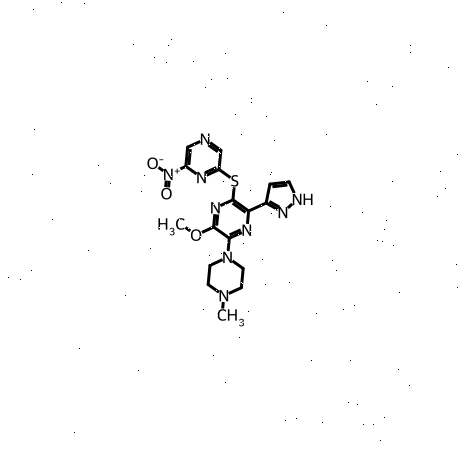 COc1nc(Sc2cncc([N+](=O)[O-])n2)c(-c2cc[nH]n2)nc1N1CCN(C)CC1